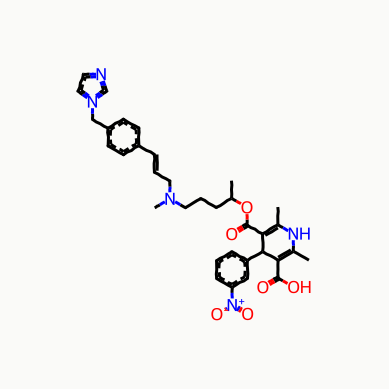 CC1=C(C(=O)O)C(c2cccc([N+](=O)[O-])c2)C(C(=O)OC(C)CCCN(C)CC=Cc2ccc(Cn3ccnc3)cc2)=C(C)N1